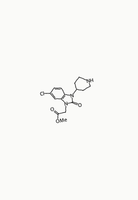 COC(=O)Cn1c(=O)n(C2CCNCC2)c2ccc(Cl)cc21